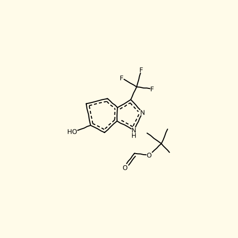 CC(C)(C)OC=O.Oc1ccc2c(C(F)(F)F)n[nH]c2c1